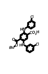 CCC(C)OC(=O)c1cc(Nc2cccc(Cl)c2)c(C(=O)O)cc1Nc1cccc(Cl)c1